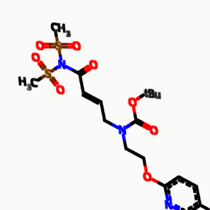 CC(C)(C)OC(=O)N(C/C=C/C(=O)N(S(C)(=O)=O)S(C)(=O)=O)CCOc1ccc(I)cn1